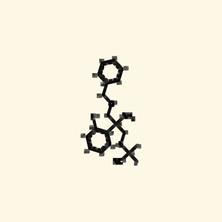 CC(C)(C#N)SCC(N)(COCc1ccccc1)c1ccccc1F